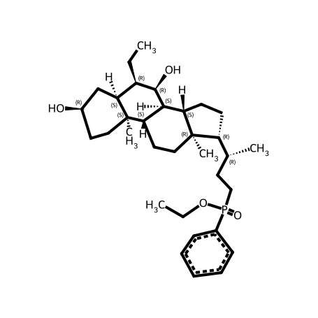 CCOP(=O)(CC[C@@H](C)[C@H]1CC[C@H]2[C@@H]3[C@H](O)[C@H](CC)[C@@H]4C[C@H](O)CC[C@]4(C)[C@H]3CC[C@]12C)c1ccccc1